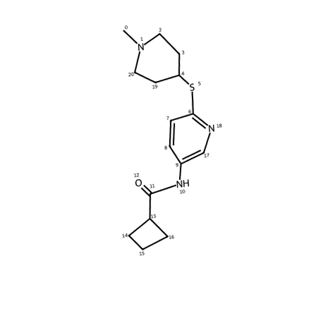 CN1CCC(Sc2ccc(NC(=O)C3CCC3)cn2)CC1